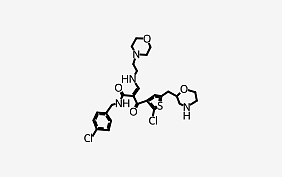 O=C(NCc1ccc(Cl)cc1)/C(=C\NCCN1CCOCC1)C(=O)c1cc(CC2CNCCO2)sc1Cl